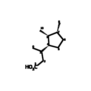 CC(CC(=O)O)[C@H]1CC[C@@H](C)[C@H]1C